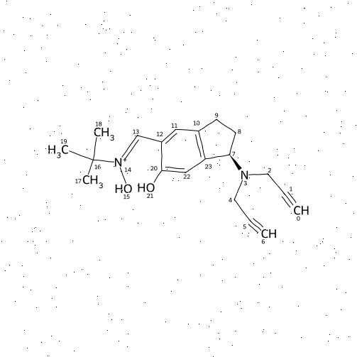 C#CCN(CC#C)[C@@H]1CCc2cc(/C=[N+](\O)C(C)(C)C)c(O)cc21